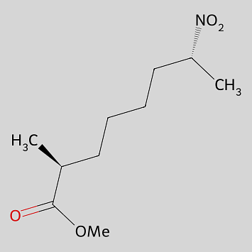 COC(=O)[C@@H](C)CCCC[C@@H](C)[N+](=O)[O-]